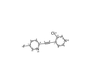 Fc1ccc(C#Cc2ccncc2Cl)nc1